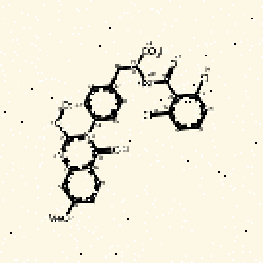 CCOc1nc2cc(OC)ccc2c(=O)n1-c1ccc(C[C@H](NC(=O)c2c(Cl)cccc2Cl)C(=O)O)cc1